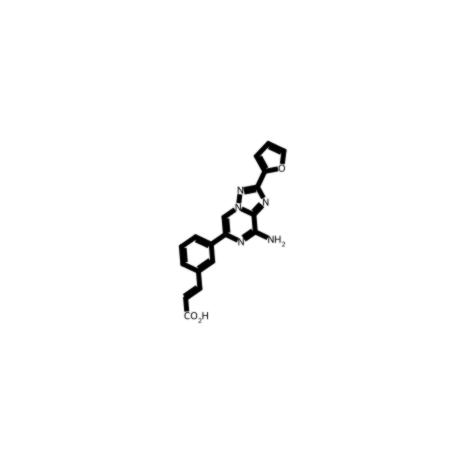 Nc1nc(-c2cccc(/C=C/C(=O)O)c2)cn2nc(-c3ccco3)nc12